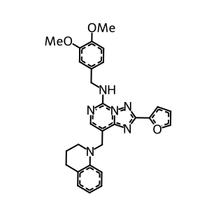 COc1ccc(CNc2ncc(CN3CCCc4ccccc43)c3nc(-c4ccco4)nn23)cc1OC